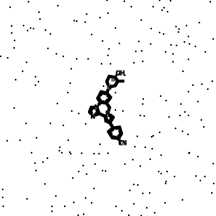 CC1CN(c2ccc3c(c2)Cn2cc(-c4ccc(C#N)cc4)cc2-c2nccn2-3)CC[C@@H]1O